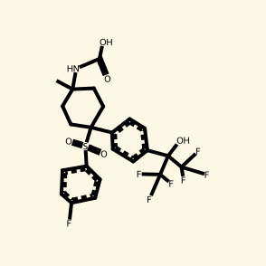 CC1(NC(=O)O)CCC(c2ccc(C(O)(C(F)(F)F)C(F)(F)F)cc2)(S(=O)(=O)c2ccc(F)cc2)CC1